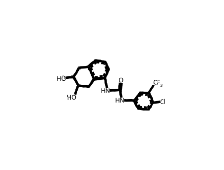 O=C(Nc1ccc(Cl)c(C(F)(F)F)c1)Nc1cccc2c1CC(O)C(O)C2